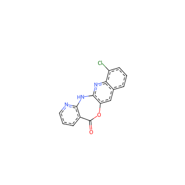 O=C1Oc2cc3cccc(Cl)c3nc2Nc2ncccc21